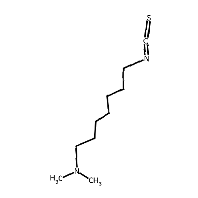 CN(C)CCCCCCCN=C=S